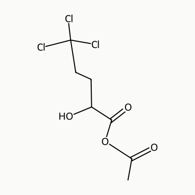 CC(=O)OC(=O)C(O)CCC(Cl)(Cl)Cl